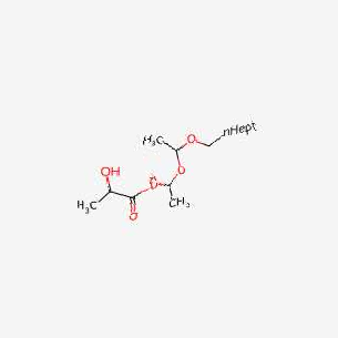 CCCCCCCCOC(C)OC(C)OC(=O)C(C)O